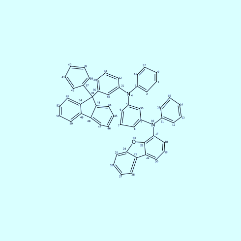 c1ccc(N(c2cccc(N(c3ccccc3)c3cccc4c3oc3ccccc34)c2)c2cccc(C3(c4ccccc4)c4ccccc4-c4ccccc43)c2)cc1